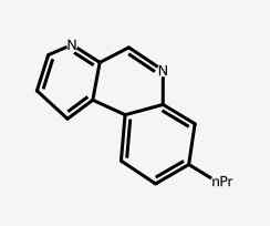 CCCc1ccc2c(c1)ncc1ncccc12